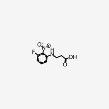 O=C(O)CCNc1cccc(F)c1[N+](=O)[O-]